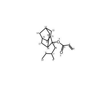 C=CC(=O)OC1(CC(C)CC)C2CC3CC(C2)CC1C3